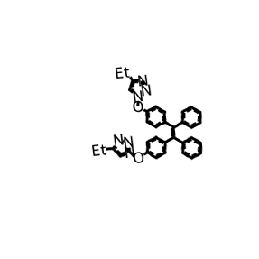 CCc1cn(Oc2ccc(C(=C(c3ccccc3)c3ccc(On4cc(CC)nn4)cc3)c3ccccc3)cc2)nn1